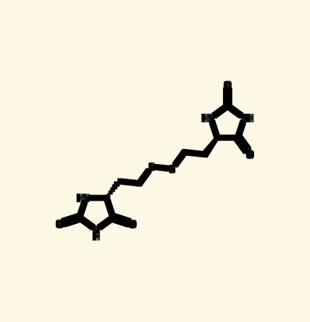 O=C1NC(=O)[C@@H](CCSSCC[C@H]2NC(=O)NC2=O)N1